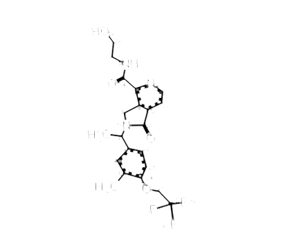 Cc1cc(C(C)N2Cc3c(ccnc3C(=O)NCCO)C2=O)ccc1OCC(F)(F)F